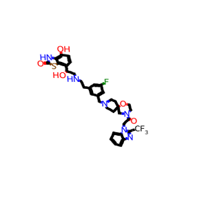 O=C(Cn1c(C(F)(F)F)nc2ccccc21)N1CCOC2(CCN(Cc3cc(F)cc(CCNCC(O)c4ccc(O)c5[nH]c(=O)sc45)c3)CC2)C1